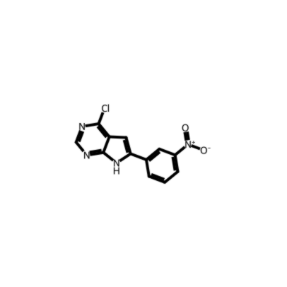 O=[N+]([O-])c1cccc(-c2cc3c(Cl)ncnc3[nH]2)c1